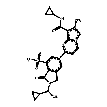 C[C@@H](C1CC1)N1Cc2cc(-c3ccn4nc(N)c(C(=O)NC5CC5)c4n3)cc(S(C)(=O)=O)c2C1=O